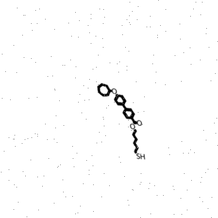 O=C(OCCCCCCS)c1ccc(-c2ccc(OC3CCCCCC3)cc2)cc1